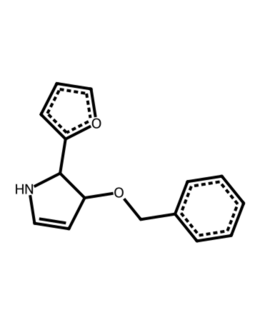 C1=CC(OCc2ccccc2)C(c2ccco2)N1